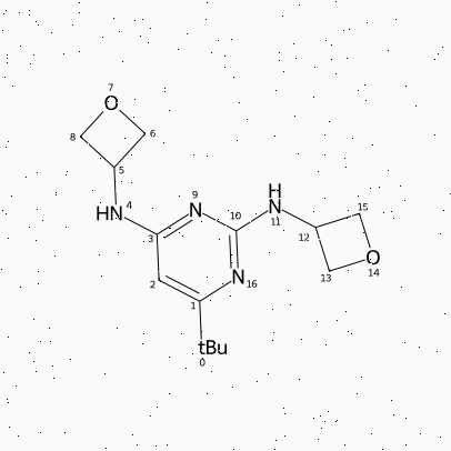 CC(C)(C)c1cc(NC2COC2)nc(NC2COC2)n1